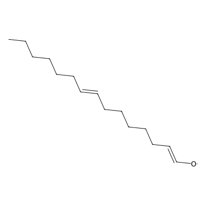 CCCCCCC=CCCCCCC=C[O]